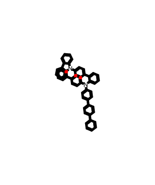 c1ccc(-c2ccc(-c3ccc(N(c4ccc(-c5ccccc5)cc4)c4ccccc4-c4ccc(-n5c6ccccc6c6ccccc65)cc4)cc3)cc2)cc1